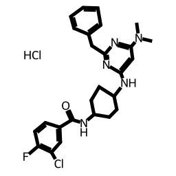 CN(C)c1cc(NC2CCC(NC(=O)c3ccc(F)c(Cl)c3)CC2)nc(Cc2ccccc2)n1.Cl